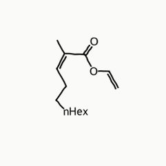 C=COC(=O)C(C)=CCCCCCCCC